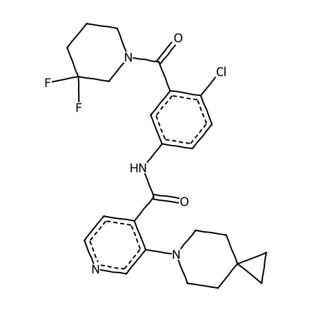 O=C(Nc1ccc(Cl)c(C(=O)N2CCCC(F)(F)C2)c1)c1ccncc1N1CCC2(CC1)CC2